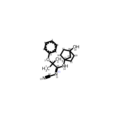 CC(C)(Oc1ccccc1)/C(=N\C#N)NC12CCC(O)(CC1)C2